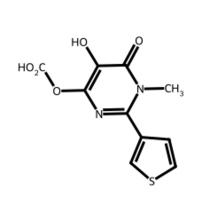 Cn1c(-c2ccsc2)nc(OC(=O)O)c(O)c1=O